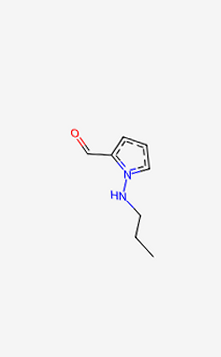 CCCNn1cccc1C=O